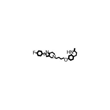 C=C1CCc2ccc(OCCCCN3CCc4nn(-c5ccc(F)cc5)cc4C3)cc2N1